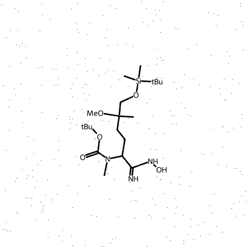 COC(C)(CCC(C(=N)NO)N(C)C(=O)OC(C)(C)C)CO[Si](C)(C)C(C)(C)C